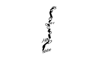 CNCCCC(=O)NCCOCCOCC(=O)NCCOCCOCC(=O)C(C)C